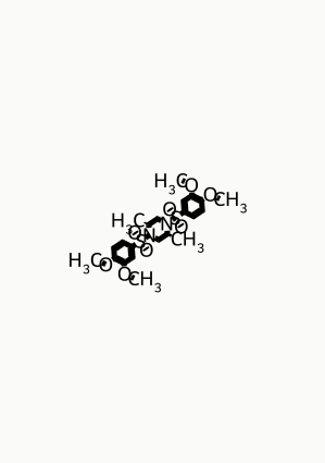 COc1ccc(S(=O)(=O)N2C[C@H](C)N(S(=O)(=O)c3ccc(OC)c(OC)c3)C[C@H]2C)cc1OC